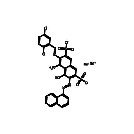 Nc1c(N=Nc2cc(Cl)ccc2Cl)c(S(=O)(=O)[O-])cc2cc(S(=O)(=O)[O-])c(N=Nc3cccc4ccccc34)c(O)c12.[Na+].[Na+]